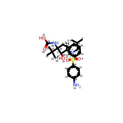 [2H]C(N(CC(C)C)S(=O)(=O)c1ccc(N)cc1)[C@@]([2H])(O)C(Cc1ccccc1)(NC(=O)O)C(C)(C)C